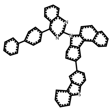 c1ccc(-c2ccc(-c3nc(-n4c5ccc(-c6ccc7sc8ccccc8c7c6)cc5c5c6ccccc6ccc54)nc4ccccc34)cc2)cc1